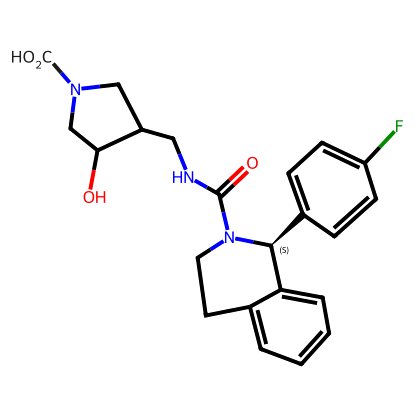 O=C(O)N1CC(O)C(CNC(=O)N2CCc3ccccc3[C@@H]2c2ccc(F)cc2)C1